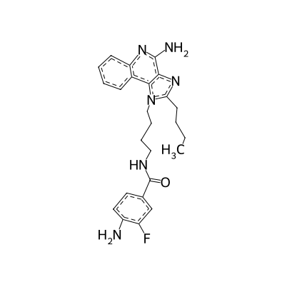 CCCCc1nc2c(N)nc3ccccc3c2n1CCCCNC(=O)c1ccc(N)c(F)c1